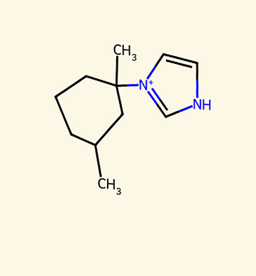 CC1CCCC(C)([n+]2cc[nH]c2)C1